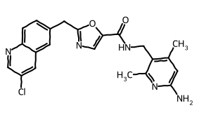 Cc1cc(N)nc(C)c1CNC(=O)c1cnc(Cc2ccc3ncc(Cl)cc3c2)o1